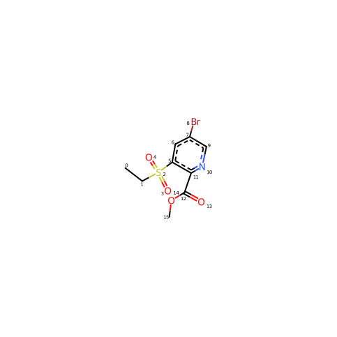 CCS(=O)(=O)c1cc(Br)cnc1C(=O)OC